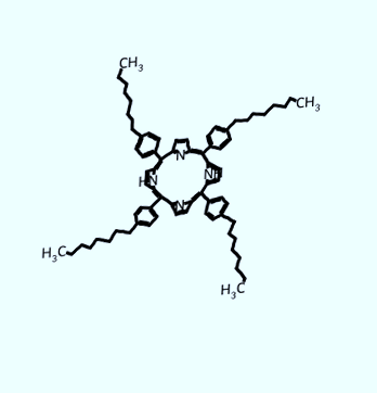 CCCCCCCCc1ccc(-c2c3nc(c(-c4ccc(CCCCCCCC)cc4)c4ccc([nH]4)c(-c4ccc(CCCCCCCC)cc4)c4nc(c(-c5ccc(CCCCCCCC)cc5)c5ccc2[nH]5)C=C4)C=C3)cc1